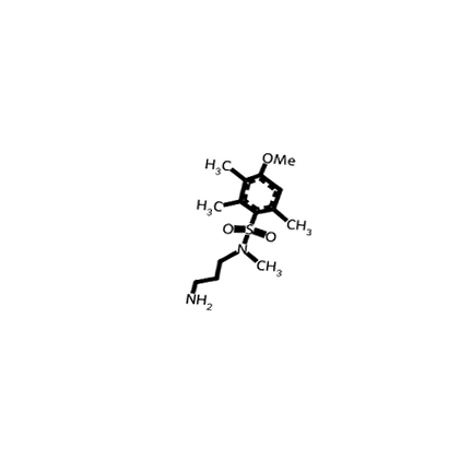 COc1cc(C)c(S(=O)(=O)N(C)CCCN)c(C)c1C